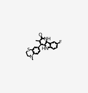 Cc1c(-c2ccc3c(c2)SCCN3C)c2[nH]c3ccc(F)cc3c2[nH]c1=O